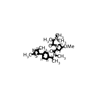 COC1CC(C(=O)N(C)C(C)c2ccc(-c3sc(C)nc3C)cc2)N(C(=O)C(C)N(C)C)C1